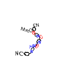 COc1cc(C#N)ccc1OC1CCN(C(=O)c2ccc(C(=O)NC3CCN(Cc4ccc(C#N)cc4)CC3)nc2)CC1